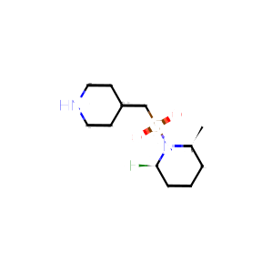 C[C@H]1CCC[C@@H](F)N1S(=O)(=O)CC1CCNCC1